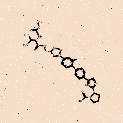 COC(=O)N[C@H](C(=O)NC[C@H]1CN(c2ccc(-c3ccc(-c4cnc([C@@H]5CCCN5C(=O)O)[nH]4)cc3)c(F)c2)OO1)C(C)C